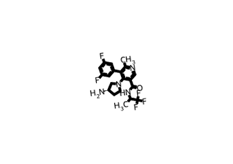 Cc1ncc(C(=O)NC(C)C(F)(F)F)c(N2CC[C@H](N)C2)c1-c1cc(F)cc(F)c1